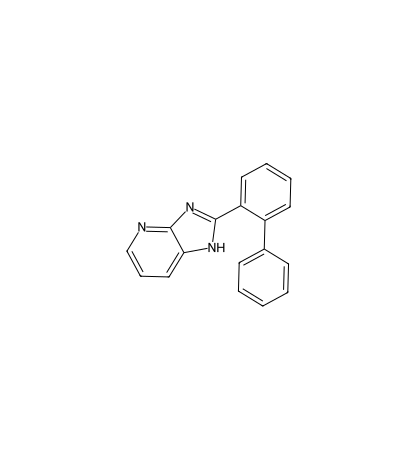 c1ccc(-c2ccccc2-c2nc3ncccc3[nH]2)cc1